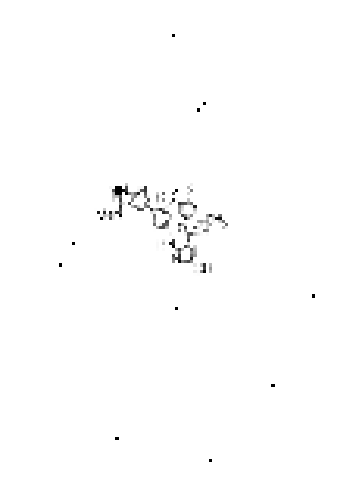 CNc1n[nH]c2ncc(-c3ccc(CNc4ncc(C#N)nc4C(=O)N[C@@H](C)c4ccc(C)c(F)c4)cc3)cc12